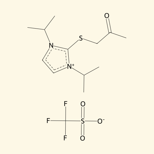 CC(=O)CSc1n(C(C)C)cc[n+]1C(C)C.O=S(=O)([O-])C(F)(F)F